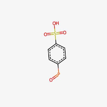 O=Pc1ccc(S(=O)(=O)O)cc1